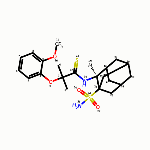 CC(C)(Oc1ccccc1OC(F)(F)F)C(=S)N[C@H]1C2CC3CC(C2)CC1(S(N)(=O)=O)C3